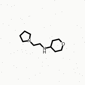 C1CCN(CCNC2CCOCC2)C1